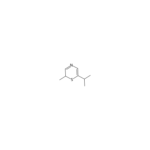 CC1C=NC=C(C(C)C)S1